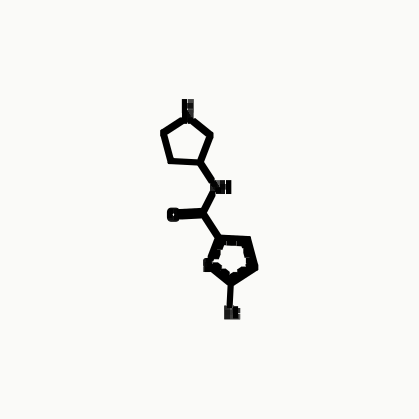 CCc1ccc(C(=O)NC2CCNC2)s1